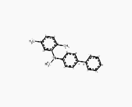 Cc1ccc(C)c(N(C)c2ccc(-c3ccccc3)cc2)c1